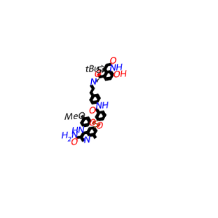 COc1cccc(Nc2c(C(N)=O)cnc3c(C)cc(S(=O)(=O)c4cccc(C(=O)Nc5ccc(CCCN(C)C[C@H](O[Si](C)(C)C(C)(C)C)c6ccc(O)c7[nH]c(=O)ccc67)cc5)c4)cc23)c1